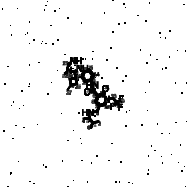 CC(C)C(C)NCc1cc(C(=O)Nc2cccc([C@]3(C(=N)N(C)C=N)C[C@@H](C)C3)c2)c(=O)n(CC(F)(F)F)c1